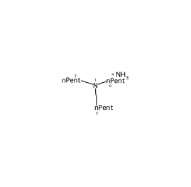 CCCCCN(CCCCC)CCCCC.N